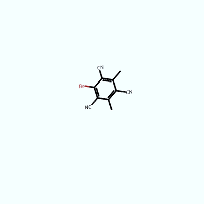 Cc1c(C#N)c(C)c(C#N)c(Br)c1C#N